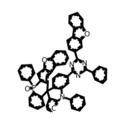 O=P1(c2ccccc2)c2ccccc2C2(c3ccccc3N(c3ccccc3)c3cc(-c4nc(-c5ccccc5)nc(-c5ccc6c(c5)oc5ccccc56)n4)ccc32)c2cc3c(cc21)oc1ccccc13